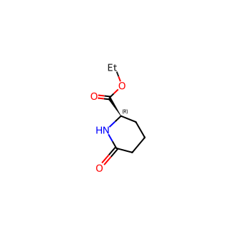 CCOC(=O)[C@H]1CCCC(=O)N1